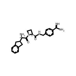 N=C(N)c1ccc(CNC(=O)[C@@H]2CCN2C(=O)[C@H](N)C2Cc3ccccc3C2)cc1